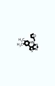 Cc1ccc(-c2csc3ncnc(NCc4ccco4)c23)cc1C